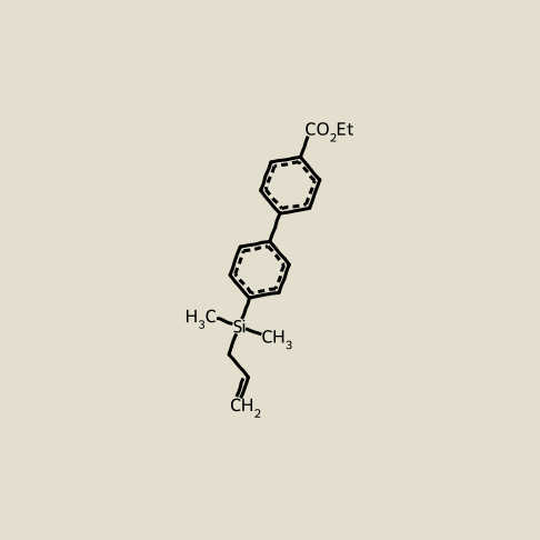 C=CC[Si](C)(C)c1ccc(-c2ccc(C(=O)OCC)cc2)cc1